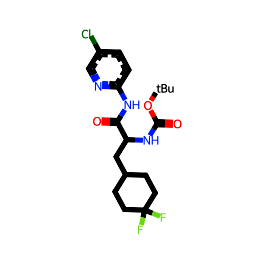 CC(C)(C)OC(=O)NC(CC1CCC(F)(F)CC1)C(=O)Nc1ccc(Cl)cn1